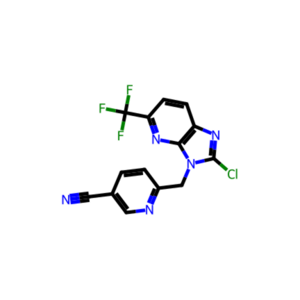 N#Cc1ccc(Cn2c(Cl)nc3ccc(C(F)(F)F)nc32)nc1